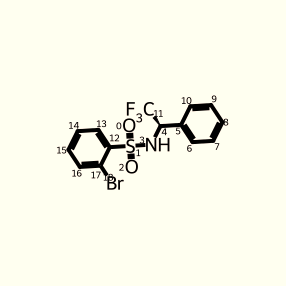 O=S(=O)(N[C@H](c1ccccc1)C(F)(F)F)c1ccccc1Br